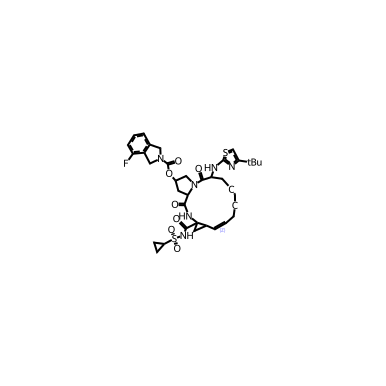 CC(C)(C)c1csc(NC2CCCCC/C=C\C3CC3(C(=O)NS(=O)(=O)C3CC3)NC(=O)C3CC(OC(=O)N4Cc5cccc(F)c5C4)CN3C2=O)n1